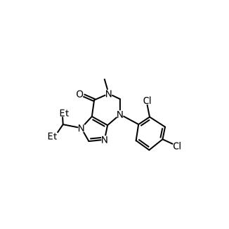 CCC(CC)n1cnc2c1C(=O)N(C)CN2c1ccc(Cl)cc1Cl